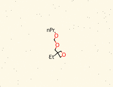 CCCOCOCC1(CC)COC1